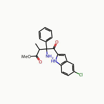 COC(=O)C(C)C(N)(C(=O)c1cc2cc(Cl)ccc2[nH]1)c1ccccc1